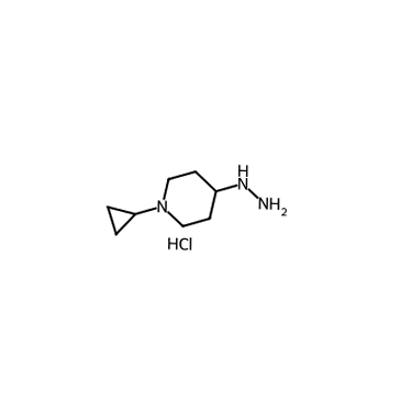 Cl.NNC1CCN(C2CC2)CC1